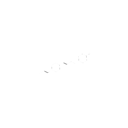 CC=C[C@H]1CC[C@H](C=CCC[C@H]2CC[C@H](CC)CC2)CC1